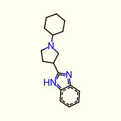 c1ccc2[nH]c(C3CCN(C4CCCCC4)C3)nc2c1